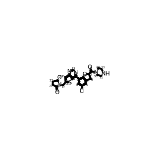 O=C(C1Cc2cc(Cl)cc(-c3ncnc4cc(CN5C(=O)CCC5=O)sc34)c2O1)N1CCNCC1